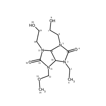 CCN1C(=O)N(CCO)C2C1N(COC)C(=O)N2CCO